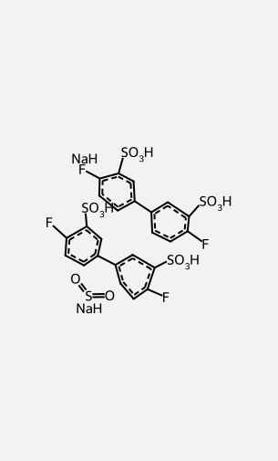 O=S(=O)(O)c1cc(-c2ccc(F)c(S(=O)(=O)O)c2)ccc1F.O=S(=O)(O)c1cc(-c2ccc(F)c(S(=O)(=O)O)c2)ccc1F.O=S=O.[NaH].[NaH]